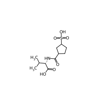 CC(C)[C@H](NC(=O)C1CCC(S(=O)(=O)O)C1)C(=O)O